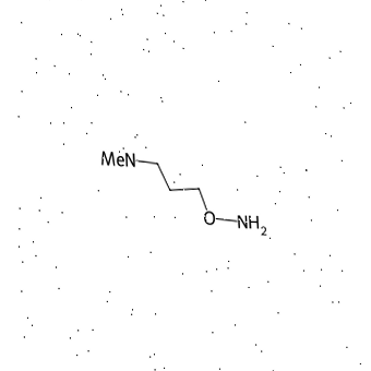 CNCCCON